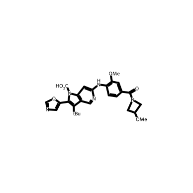 COc1cc(C(=O)N2CC(OC)C2)ccc1Nc1cc2c(cn1)c(C(C)(C)C)c(-c1cnco1)n2C(=O)O